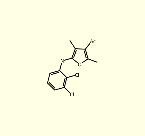 CC(=O)c1c(C)oc([N]c2cccc(Cl)c2Cl)c1C